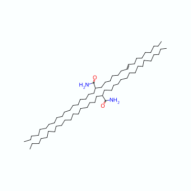 CCCCCCCCC=CCCCCCCC(CCCCCCCCCCCCCCCCCC)C(N)=O.CCCCCCCCCCCCCCCCCCC(CCCCCCCCCCCCCCCC)C(N)=O